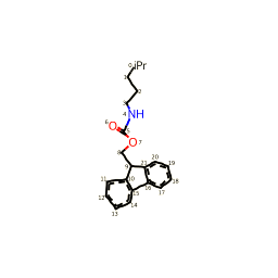 CC(C)CCCNC(=O)OCC1c2ccccc2-c2ccccc21